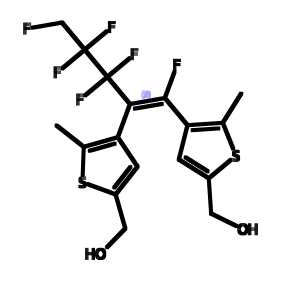 Cc1sc(CO)cc1/C(F)=C(\c1cc(CO)sc1C)C(F)(F)C(F)(F)CF